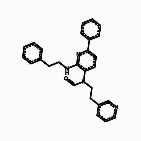 O=CN(CCc1cccnc1)c1ccc(-c2ccccc2)nc1NCCc1ccccc1